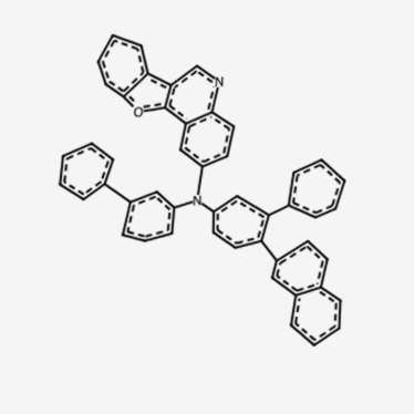 c1ccc(-c2cccc(N(c3ccc(-c4ccc5ccccc5c4)c(-c4ccccc4)c3)c3ccc4ncc5c6ccccc6oc5c4c3)c2)cc1